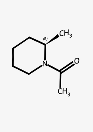 CC(=O)N1CCCC[C@H]1C